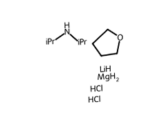 C1CCOC1.CC(C)NC(C)C.Cl.Cl.[LiH].[MgH2]